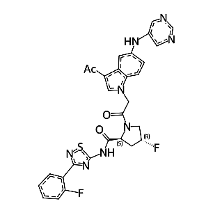 CC(=O)c1cn(CC(=O)N2C[C@H](F)C[C@H]2C(=O)Nc2nc(-c3ccccc3F)ns2)c2ccc(Nc3cncnc3)cc12